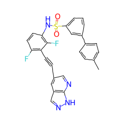 Cc1ccc(-c2cccc(S(=O)(=O)Nc3ccc(F)c(C#Cc4cnc5[nH]ncc5c4)c3F)c2)cc1